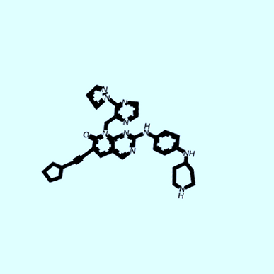 O=c1c(C#CC2CCCC2)cc2cnc(Nc3ccc(NC4CCNCC4)cc3)nc2n1Cc1nccnc1-n1cccn1